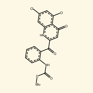 CC(C)(C)OC(=O)Nc1ccccc1C(=O)c1cc(=O)c2c(Cl)cc(Cl)cc2[nH]1